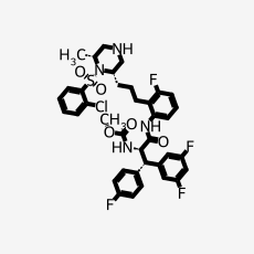 COC(=O)N[C@H](C(=O)Nc1cccc(F)c1CCC[C@H]1CNC[C@@H](C)N1S(=O)(=O)c1ccccc1Cl)[C@@H](c1ccc(F)cc1)c1cc(F)cc(F)c1